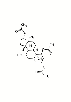 CC(=O)O[C@@H]1CC2=C[C@H](O)[C@H]3[C@@H]4CC[C@H](OC(C)=O)[C@@]4(C)CC[C@@H]3[C@@]2(C)[C@@H](OC(C)=O)C1